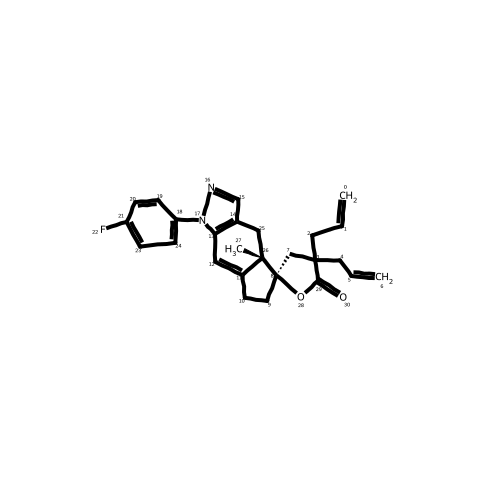 C=CCC1(CC=C)C[C@@]2(CCC3=Cc4c(cnn4-c4ccc(F)cc4)C[C@@]32C)OC1=O